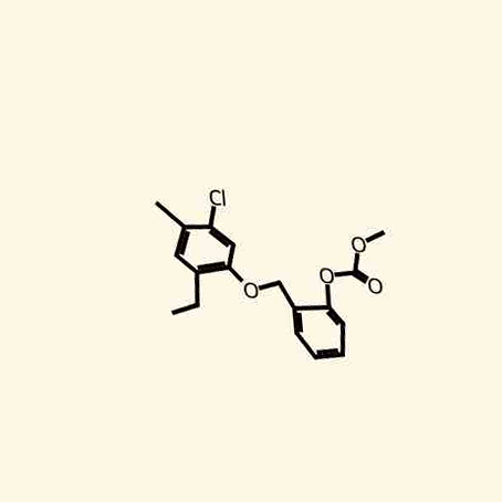 CCc1cc(C)c(Cl)cc1OCc1ccccc1OC(=O)OC